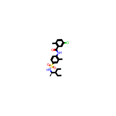 CCC(CC)[C@@H](C)NS(=O)(=O)c1ccc(NC(=O)c2cc(Cl)ccc2C)c(C)c1